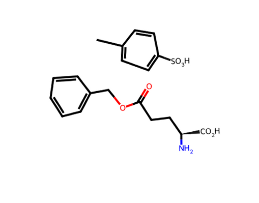 Cc1ccc(S(=O)(=O)O)cc1.N[C@@H](CCC(=O)OCc1ccccc1)C(=O)O